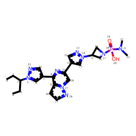 CCC(CC)n1cc(-c2nc(-c3cnn(C4CN(P(=O)(O)N(C)C)C4)c3)cn3nccc23)cn1